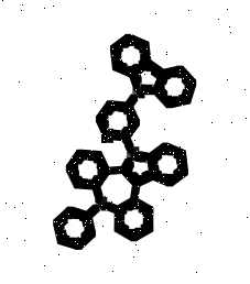 c1ccc(N2c3ccccc3-c3c(n(-c4cc(-n5c6ccccc6c6ccccc65)ccn4)c4ccccc34)-c3ccccc32)cc1